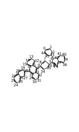 c1ccc(C2C(c3ccc(-c4c5ccccc5c(-c5ccc6ccccc6c5)c5ccccc45)cc3)=Nc3ccccc32)cc1